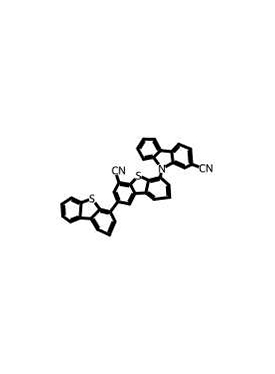 N#Cc1ccc2c3ccccc3n(-c3cccc4c3sc3c(C#N)cc(-c5cccc6c5sc5ccccc56)cc34)c2c1